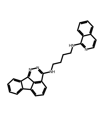 c1ccc2c(c1)-c1cccc3c(NCCCCNc4nccc5ccccc45)nnc-2c13